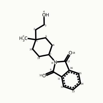 CC1(CCO)CCC(N2C(=O)c3ccccc3C2=O)CC1